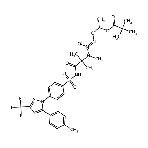 Cc1ccc(-c2cc(C(F)(F)F)nn2-c2ccc(S(=O)(=O)NC(=O)C(C)(C)N(C)[N+]([O-])=NOC(C)OC(=O)C(C)(C)C)cc2)cc1